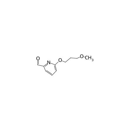 COCCCOc1cccc(C=O)n1